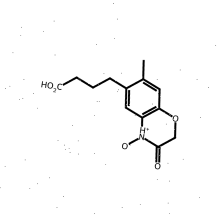 Cc1cc2c(cc1CCCC(=O)O)[NH+]([O-])C(=O)CO2